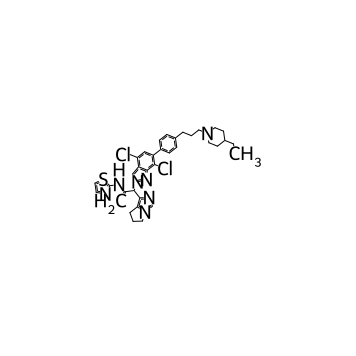 C=C(Nc1nccs1)C(c1ncn2c1CCC2)n1cc2c(Cl)cc(-c3ccc(CCCN4CCC(CC)CC4)cc3)c(Cl)c2n1